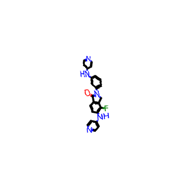 O=C1c2ccc(Nc3ccncc3)c(F)c2CN1c1cccc(Nc2ccncc2)c1